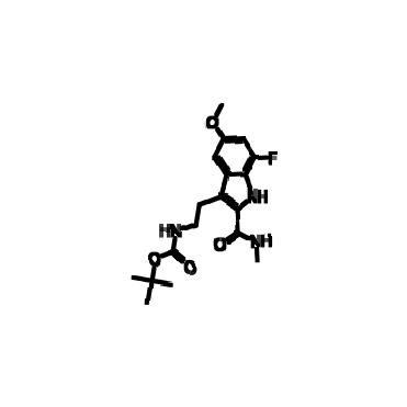 CNC(=O)c1[nH]c2c(F)cc(OC)cc2c1CCNC(=O)OC(C)(C)C